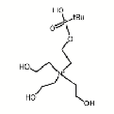 CC(C)(C)P(=O)(O)OCC[N+](CCO)(CCO)CCO